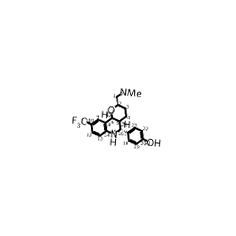 CNC[C@H]1CC[C@@H]2[C@H](O1)c1cc(C(F)(F)F)ccc1N[C@H]2c1ccc(O)cc1